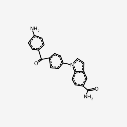 NC(=O)c1ccc2c(ccn2-c2ccc(C(=O)c3ccc(N)cc3)cc2)c1